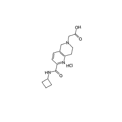 Cl.O=C(O)CN1CCc2nc(C(=O)NC3CCC3)ccc2C1